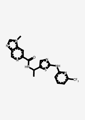 CC(NC(=O)c1cc2c(cn1)ncn2C)c1cnc(Nc2cccc(C(F)(F)F)n2)s1